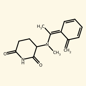 C=c1cccc/c1=C(\C)N(C)C1CCC(=O)NC1=O